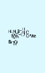 COC(=O)C1CCC(c2nc3c(-c4ccn(C)c4Br)cnn3c(N)c2Br)CN1